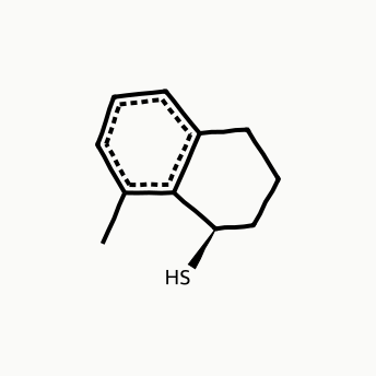 Cc1cccc2c1[C@H](S)CCC2